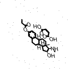 CCC(=O)Oc1ccc2c(c1)CC[C@@H]1[C@@H]2CC[C@@]2(C)[C@H]1C[C@@H](O)[C@@H]2NC.O=C(O)/C=C\C(=O)O